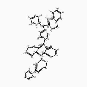 c1ccc(-c2cccc(-c3c4ccccc4c(-c4ccc(N(c5ccc6ccccc6c5)c5ccccn5)cc4)c4ccccc34)c2)cc1